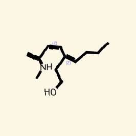 C=C(/C=C\C(=C/CCC)CCO)NC